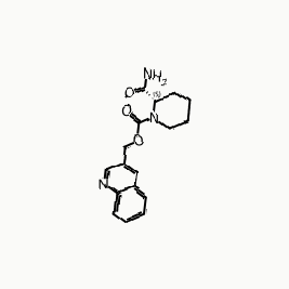 NC(=O)[C@@H]1CCCCN1C(=O)OCc1cnc2ccccc2c1